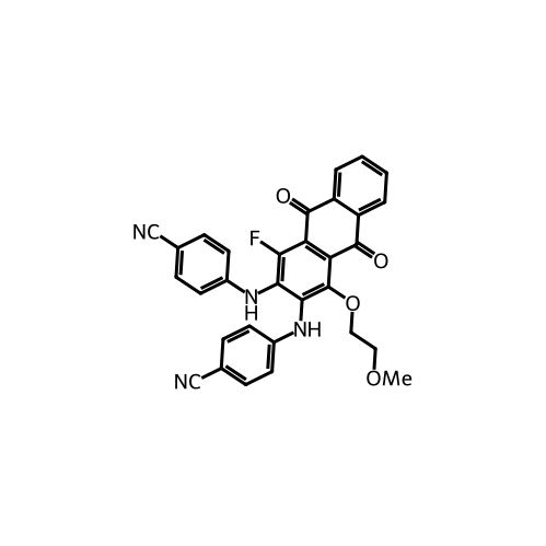 COCCOc1c(Nc2ccc(C#N)cc2)c(Nc2ccc(C#N)cc2)c(F)c2c1C(=O)c1ccccc1C2=O